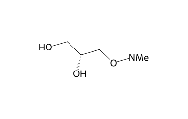 CNOC[C@H](O)CO